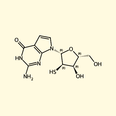 Nc1nc2c(ccn2[C@@H]2O[C@H](CO)[C@@H](O)[C@H]2S)c(=O)[nH]1